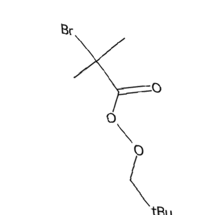 CC(C)(C)COOC(=O)C(C)(C)Br